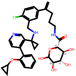 C=C(CCCNC(=O)[C@H]1OC(O)[C@H](O)[C@@H](O)[C@@H]1O)c1ccc(Cl)c(CNC2(c3cnccc3-c3ccccc3OC3CC3)CC2)c1